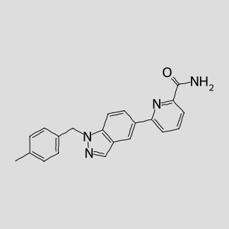 Cc1ccc(Cn2ncc3cc(-c4cccc(C(N)=O)n4)ccc32)cc1